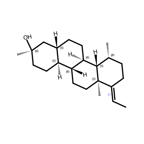 C/C=C1\CC[C@@H](C)[C@H]2[C@@H]3CC[C@H]4C[C@](C)(O)CC[C@@H]4[C@H]3CC[C@]12C